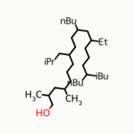 CCCCC(CCC(CCCC(C)CC(C)CO)CC(C)C)CC(CC)CCCC(CCCC)C(C)CC